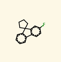 Fc1ccc2c(c1)C1(CCCC1)c1ccccc1-2